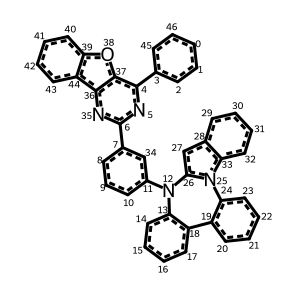 c1ccc(-c2nc(-c3cccc(N4c5ccccc5-c5ccccc5-n5c4cc4ccccc45)c3)nc3c2oc2ccccc23)cc1